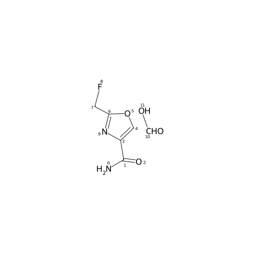 NC(=O)c1coc(CF)n1.O=CO